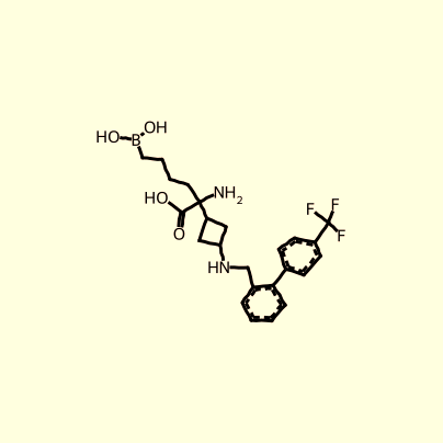 NC(CCCCB(O)O)(C(=O)O)C1CC(NCc2ccccc2-c2ccc(C(F)(F)F)cc2)C1